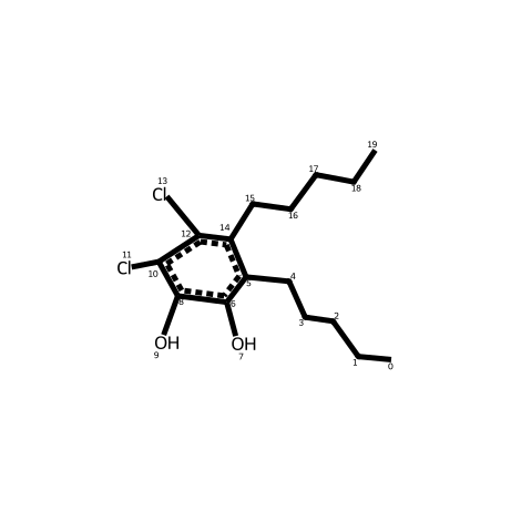 CCCCCc1c(O)c(O)c(Cl)c(Cl)c1CCCCC